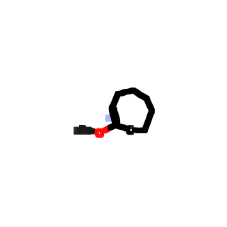 CCCCO/C1=C/CCCCCC1